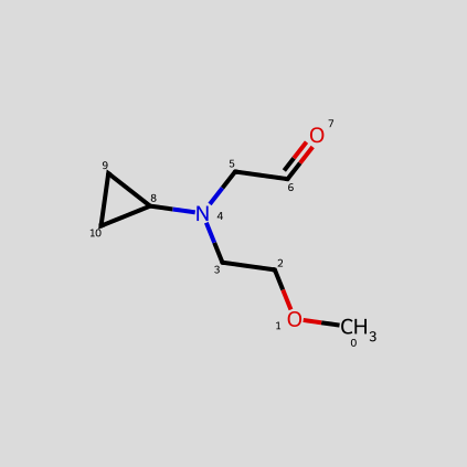 COCCN(CC=O)C1CC1